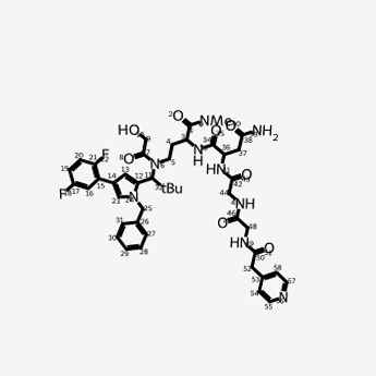 CNC(=O)C(CCN(C(=O)CO)C(c1cc(-c2cc(F)ccc2F)cn1Cc1ccccc1)C(C)(C)C)NC(=O)C(CC(N)=O)NC(=O)CNC(=O)CNC(=O)Cc1ccncc1